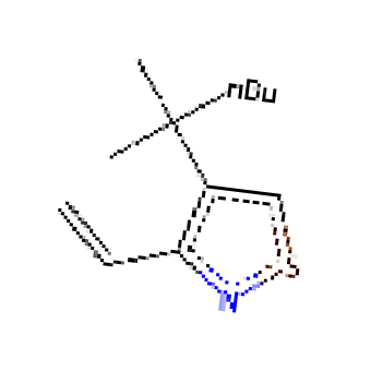 C=Cc1nscc1C(C)(C)CCCC